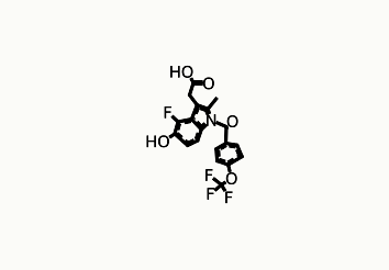 Cc1c(CC(=O)O)c2c(F)c(O)ccc2n1C(=O)c1ccc(OC(F)(F)F)cc1